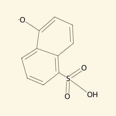 [O]c1cccc2c(S(=O)(=O)O)cccc12